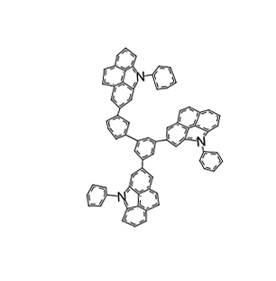 c1ccc(-n2c3cccc4ccc5cc(-c6cccc(-c7cc(-c8cc9ccc%10cccc%11c%10c9c(c8)n%11-c8ccccc8)cc(-c8cc9ccc%10cccc%11c%10c9c(c8)n%11-c8ccccc8)c7)c6)cc2c5c43)cc1